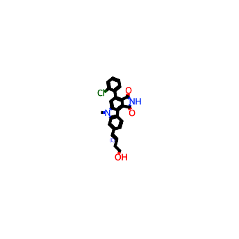 Cn1c2cc(/C=C/CCO)ccc2c2c3c(c(-c4ccccc4Cl)cc21)C(=O)NC3=O